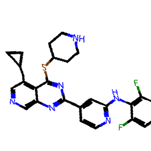 Fc1cccc(F)c1Nc1cc(-c2nc(SC3CCNCC3)c3c(C4CC4)cncc3n2)ccn1